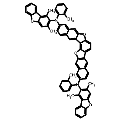 Cc1ccccc1N(c1ccc2cc3c(cc2c1)oc1c3ccc2oc3cc4cc(N(c5ccccc5C)c5c(C)cc6oc7ccccc7c6c5C)ccc4cc3c21)c1c(C)cc2oc3ccccc3c2c1C